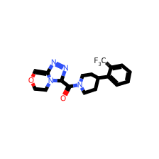 O=C(C1N=NC2=COCCN21)N1CCC(c2ccccc2C(F)(F)F)CC1